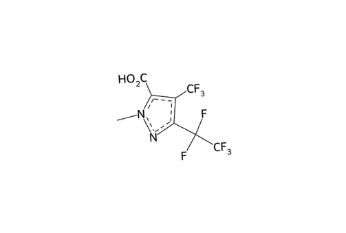 Cn1nc(C(F)(F)C(F)(F)F)c(C(F)(F)F)c1C(=O)O